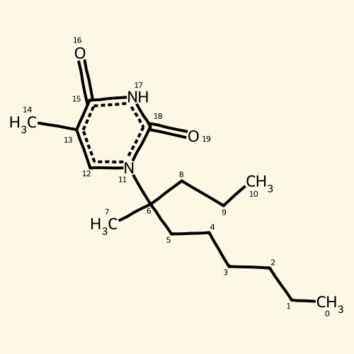 CCCCCCC(C)(CCC)n1cc(C)c(=O)[nH]c1=O